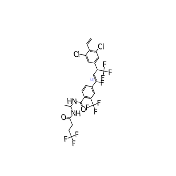 C=Cc1c(Cl)cc(C(/C=C(\F)c2ccc(C(=O)NC(C)NC(=O)CCC(F)(F)F)c(C(F)(F)F)c2)C(F)(F)F)cc1Cl